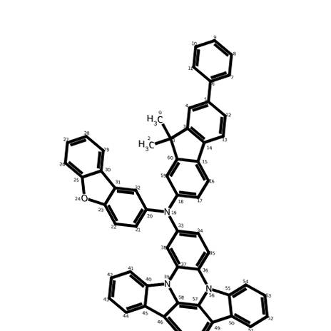 CC1(C)c2cc(-c3ccccc3)ccc2-c2ccc(N(c3ccc4oc5ccccc5c4c3)c3ccc4c(c3)n3c5ccccc5c5ccc6c7ccccc7n4c6c53)cc21